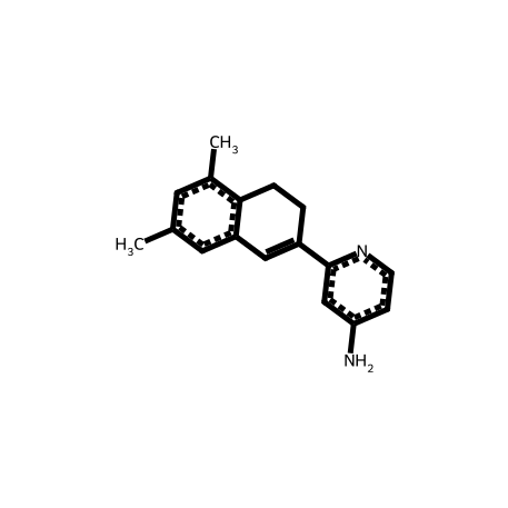 Cc1cc(C)c2c(c1)C=C(c1cc(N)ccn1)CC2